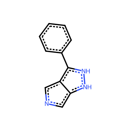 c1ccc(-c2[nH][nH]c3cncc2-3)cc1